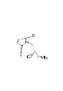 CCCCC(Cl)CN1C(=O)C=CC1=O